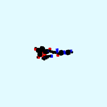 COc1ccc(C(OCC2(COP(O)N(C(C)C)C(C)(C)CCC#N)CCN(C(=O)CCCCCNC(=O)c3ccc(/N=N/c4ccc(N(C)C)cc4)cc3)CC2)(c2ccccc2)c2ccc(OC)cc2)cc1